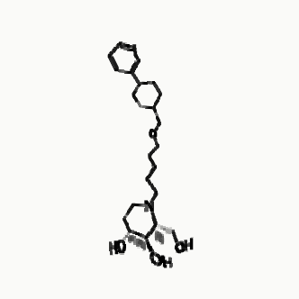 OC[C@@H]1[C@@H](O)[C@H](O)CCN1CCCCCOCC1CCC(c2ccccc2)CC1